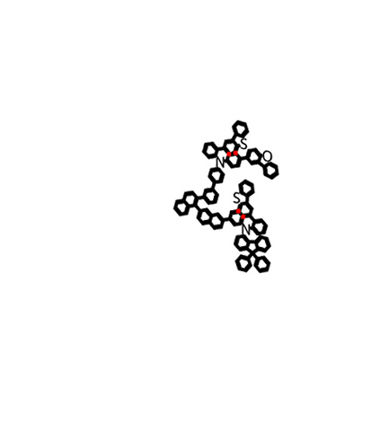 c1ccc(C2(c3ccccc3)c3ccccc3-c3c(N(c4cccc(-c5ccc6ccc(-c7c(-c8cccc(-c9ccc(N(c%10ccc(-c%11ccc%12oc%13ccccc%13c%12c%11)cc%10)c%10ccccc%10-c%10ccc%11sc%12ccccc%12c%11c%10)cc9)c8)ccc8ccccc78)cc6c5)c4)c4ccccc4-c4ccc5sc6ccccc6c5c4)cccc32)cc1